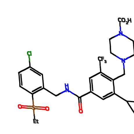 CCS(=O)(=O)c1ccc(Cl)cc1CNC(=O)c1cc(C2CC2)c(CN2CCN(C(=O)O)CC2)c(C(F)(F)F)c1